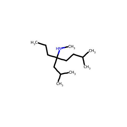 CCCC(CCC(C)C)(CC(C)C)NC